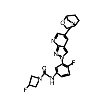 O=C(Nc1ccc(F)c(-n2cc3cc(N4CC5CCC4CO5)cnc3n2)c1)N1CC(F)C1